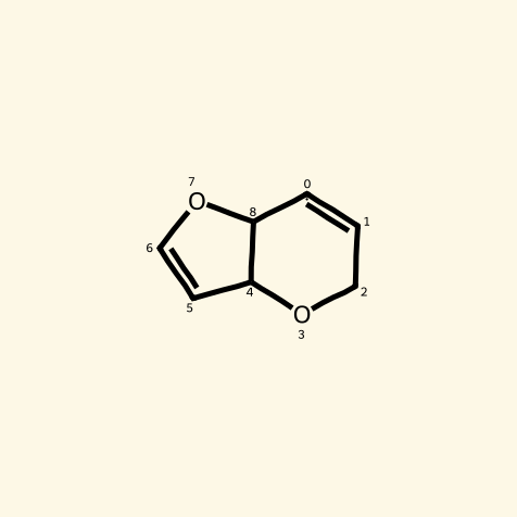 [C]1=CCOC2C=COC12